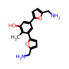 Cc1c(O)cc(-c2ccc(CN)o2)cc1-c1ccc(CN)o1